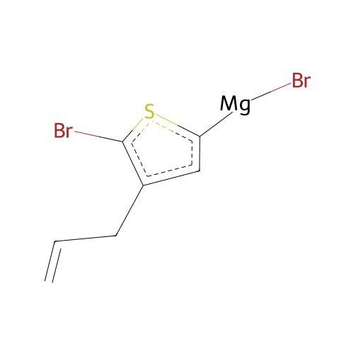 C=CCc1c[c]([Mg][Br])sc1Br